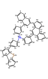 c1cc(-c2cccc3ccccc23)cc(N(c2ccc(-c3cccc4c3sc3ccccc34)cc2)c2cccc(-c3cc4ccccc4c4ccccc34)c2)c1